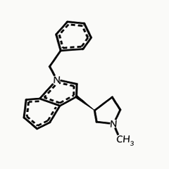 CN1CC[C@H](c2cn(Cc3ccccc3)c3ccccc23)C1